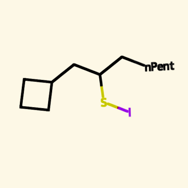 CCCCCCC(CC1CCC1)SI